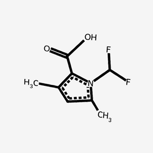 Cc1cc(C)n(C(F)F)c1C(=O)O